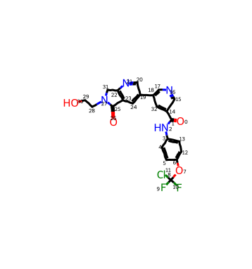 O=C(Nc1ccc(OC(F)(F)Cl)cc1)c1cncc(-c2cnc3c(c2)C(=O)N(CCO)C3)c1